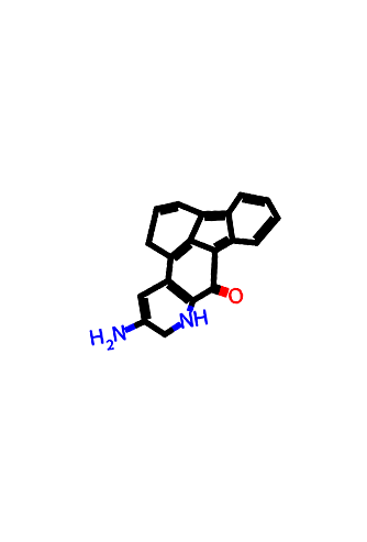 NC1=CC2=C(NC1)C(=O)C1=c3ccccc3=C3C=CCC2=C31